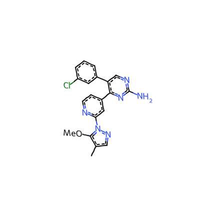 COc1c(C)cnn1-c1cc(-c2nc(N)ncc2-c2cccc(Cl)c2)ccn1